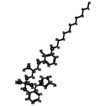 CCCCCCCCCCCCOc1cccc(OCC(COP(=O)(O)Oc2ccccc2C[n+]2csc(C)c2)OC)c1C